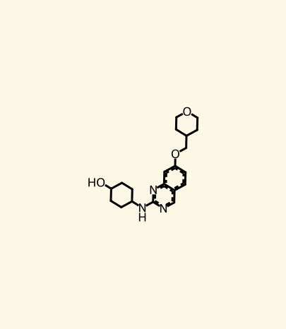 OC1CCC(Nc2ncc3ccc(OCC4CCOCC4)cc3n2)CC1